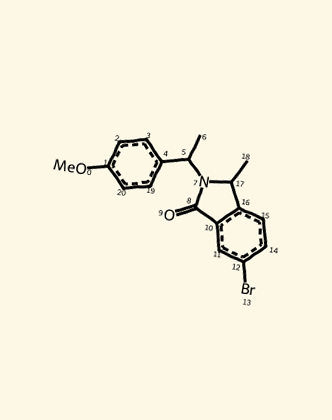 COc1ccc(C(C)N2C(=O)c3cc(Br)ccc3C2C)cc1